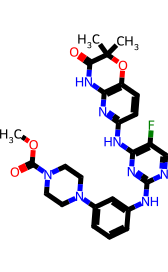 COC(=O)N1CCN(c2cccc(Nc3ncc(F)c(Nc4ccc5c(n4)NC(=O)C(C)(C)O5)n3)c2)CC1